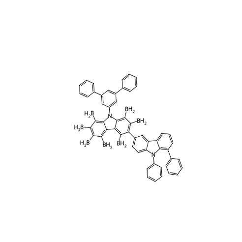 Bc1c(B)c(B)c2c(c1B)c1c(B)c(-c3ccc4c(c3)c3cccc(-c5ccccc5)c3n4-c3ccccc3)c(B)c(B)c1n2-c1cc(-c2ccccc2)cc(-c2ccccc2)c1